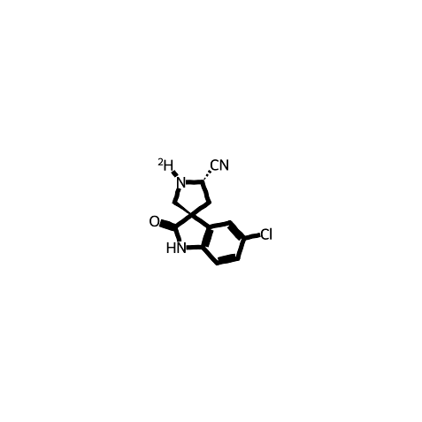 [2H]N1C[C@]2(C[C@H]1C#N)C(=O)Nc1ccc(Cl)cc12